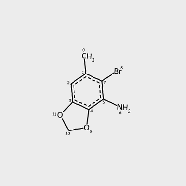 Cc1cc2c(c(N)c1Br)OCO2